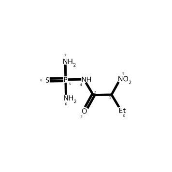 CCC(C(=O)NP(N)(N)=S)[N+](=O)[O-]